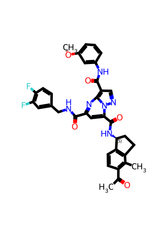 COc1cccc(NC(=O)c2cnn3c(C(=O)N[C@H]4CCc5c4ccc(C(C)=O)c5C)cc(C(=O)NCc4ccc(F)c(F)c4)nc23)c1